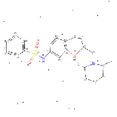 CC1CCCC(C)N1CC1CCc2ccc(NS(=O)(=O)c3ccccc3)cc2O1